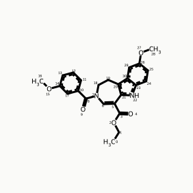 CCOC(=O)C1=CN(C(=O)c2cccc(OC)c2)CCc2c1[nH]c1ccc(OC)cc21